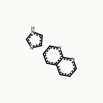 c1c[nH]cn1.c1cnc2ncccc2c1